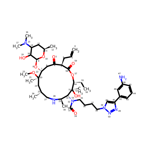 C=CC[C@@H]1C(=O)C[C@@H](O[C@@H]2O[C@H](C)CC(N(C)C)C2O)[C@](C)(OC)C[C@@H](C)CN[C@H](C)[C@@H](N(C=O)CCCCn2cc(-c3cccc(N)c3)nn2)[C@](C)(O)[C@@H](CC)OC1=O